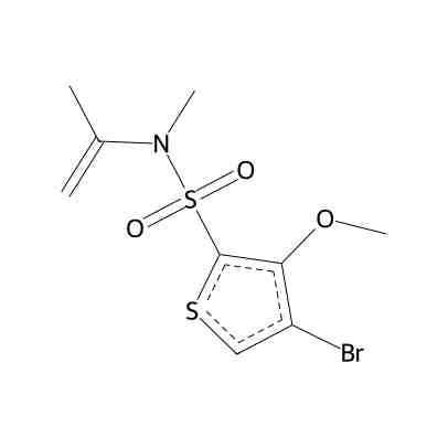 C=C(C)N(C)S(=O)(=O)c1scc(Br)c1OC